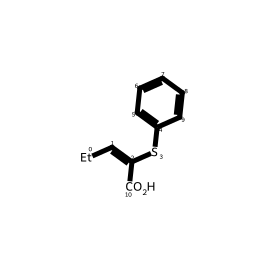 CCC=C(Sc1ccccc1)C(=O)O